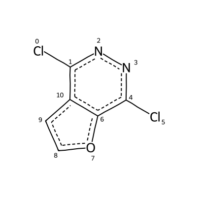 Clc1nnc(Cl)c2occc12